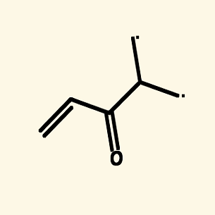 [CH2]C([CH2])C(=O)C=C